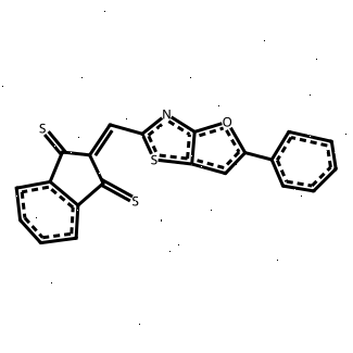 S=C1C(=Cc2nc3oc(-c4ccccc4)cc3s2)C(=S)c2ccccc21